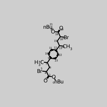 CCCCOC(=O)C(Br)CC(C)c1ccc(C(C)CC(Br)C(=O)OCCCC)cc1